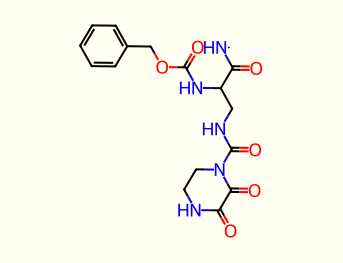 [NH]C(=O)C(CNC(=O)N1CCNC(=O)C1=O)NC(=O)OCc1ccccc1